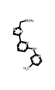 CC(=O)NCc1ncc(-c2cccc(Nc3cc(C)ccn3)n2)s1